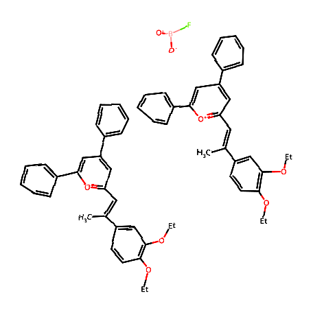 CCOc1ccc(/C(C)=C/c2cc(-c3ccccc3)cc(-c3ccccc3)[o+]2)cc1OCC.CCOc1ccc(/C(C)=C/c2cc(-c3ccccc3)cc(-c3ccccc3)[o+]2)cc1OCC.[O-]B([O-])F